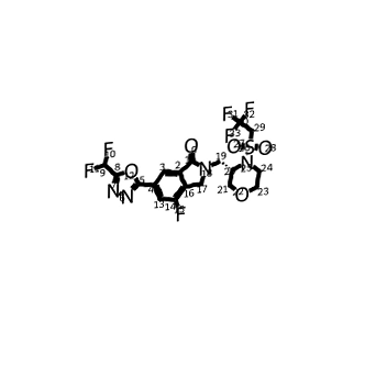 O=C1c2cc(-c3nnc(C(F)F)o3)cc(F)c2CN1C[C@H]1COCCN1S(=O)(=O)CC(F)(F)F